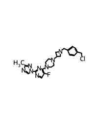 Cc1ncn(-c2ncc(F)c(N3CCN(C4CN(Cc5ccc(CCl)cc5)C4)CC3)n2)n1